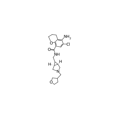 Nc1c(Cl)cc(C(=O)NCC2[C@H]3CN(CC4CCOC4)C[C@@H]23)c2c1CCCO2